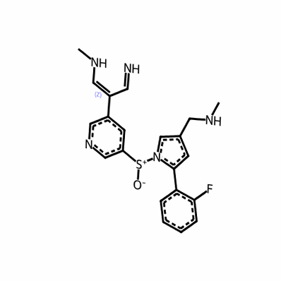 CN/C=C(\C=N)c1cncc([S+]([O-])n2cc(CNC)cc2-c2ccccc2F)c1